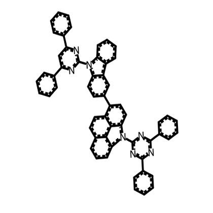 c1ccc(-c2cc(-c3ccccc3)nc(-n3c4ccccc4c4cc(-c5ccc6c7c5ccc5cccc(c57)n6-c5nc(-c6ccccc6)nc(-c6ccccc6)n5)ccc43)n2)cc1